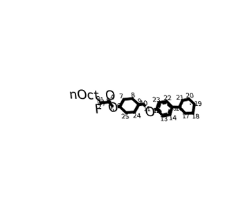 CCCCCCCC[C@H](F)C(=O)OC1CCC(COc2ccc(C3CC[CH]CC3)cc2)CC1